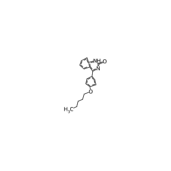 CCCCCOc1ccc(-c2nc(=O)[nH]c3ccccc23)cc1